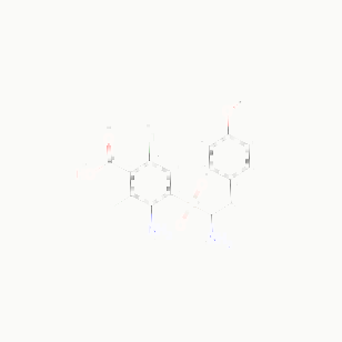 COc1ccc(CC(N)S(=O)(=O)c2cc(Cl)c(C(=O)O)c(Cl)c2N)cc1